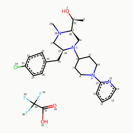 C[C@H](O)[C@H]1CN(C2CCN(c3ccccn3)CC2)[C@@H](Cc2ccc(Cl)cc2)CN1C.O=C(O)C(F)(F)F